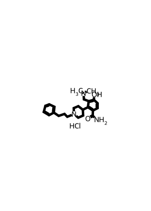 CN(C)Cc1c(O)ccc(C(N)=O)c1C1CCN(CCCc2ccccc2)CC1.Cl